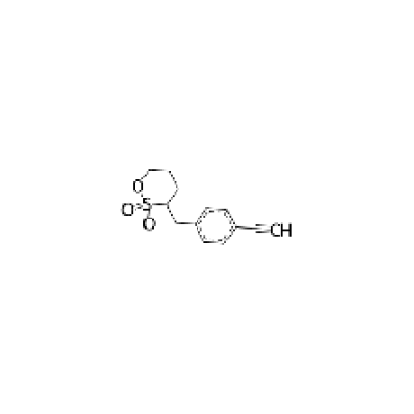 C#Cc1ccc(CC2CCCOS2(=O)=O)cc1